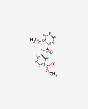 COC(=O)c1cccc(CC(=O)c2ccccc2OC)c1